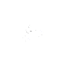 CCCCC1=Cc2c(-c3cccc4cccnc34)cccc2[CH]1[Zr]([Cl])([Cl])([CH]1C(CCCC)=Cc2c(-c3cccc4cccnc34)cccc21)[SiH](C)C